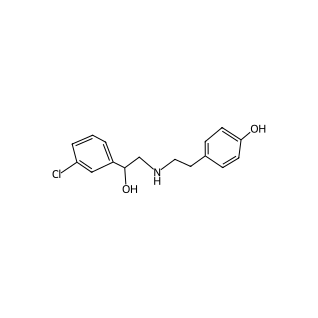 Oc1ccc(CCNCC(O)c2cccc(Cl)c2)cc1